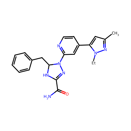 CCn1nc(C)cc1-c1ccnc(N2N=C(C(N)=O)NC2Cc2ccccc2)c1